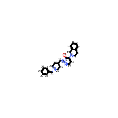 O=c1c(N2CCc3ccccc3C2)ccnn1CC1CCN(Cc2ccccc2)CC1